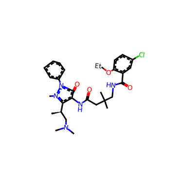 CCOc1ccc(Cl)cc1C(=O)NCC(C)(C)CC(=O)Nc1c([C@H](C)CN(C)C)n(C)n(-c2ccccc2)c1=O